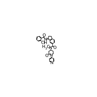 CN(C(=O)c1ccc2c(c1)[C@H](NC(=O)c1ccccc1Cl)CC2)C1CCN(c2ccncc2)C(=O)C1